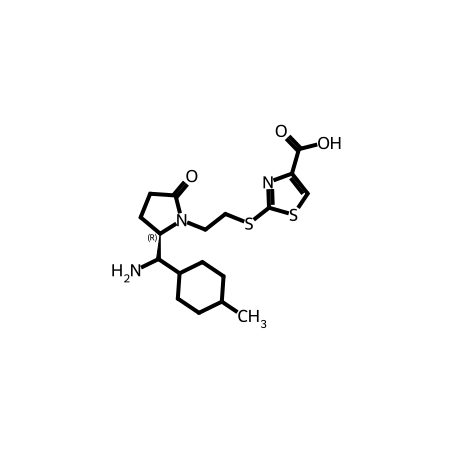 CC1CCC(C(N)[C@H]2CCC(=O)N2CCSc2nc(C(=O)O)cs2)CC1